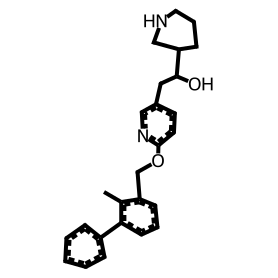 Cc1c(COc2ccc(CC(O)C3CCCNC3)cn2)cccc1-c1ccccc1